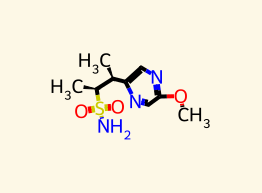 COc1cnc([C@H](C)[C@H](C)S(N)(=O)=O)cn1